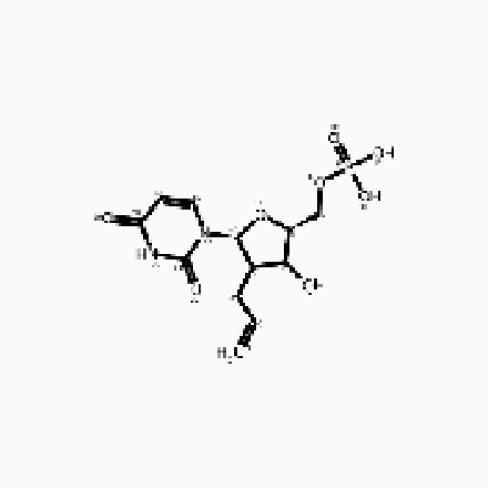 C=CCC1C(O)[C@H](COP(=O)(O)O)O[C@@H]1n1ccc(=O)[nH]c1=O